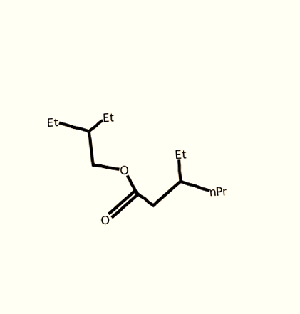 CCCC(CC)CC(=O)OCC(CC)CC